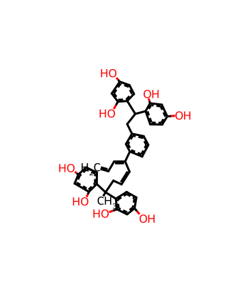 C=C/C=C(\C=C/CC(C)(c1ccc(O)cc1O)c1ccc(O)cc1O)c1cccc(CC(c2ccc(O)cc2O)c2ccc(O)cc2O)c1